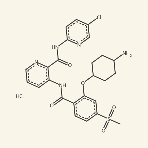 CS(=O)(=O)c1ccc(C(=O)Nc2cccnc2C(=O)Nc2ccc(Cl)cn2)c(OC2CCC(N)CC2)c1.Cl